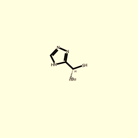 CCCC[C@@H](S)c1nnc[nH]1